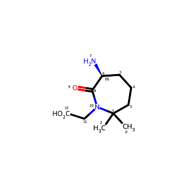 CC1(C)CCC[C@H](N)C(=O)N1CC(=O)O